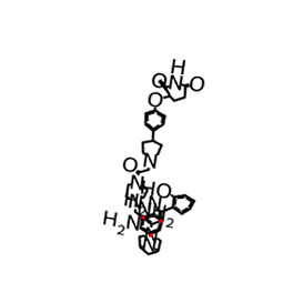 NC(N)=C(/C=C(\N)c1ccccc1O)N1CC2CC(C1)N2c1cccc(CN2CCN(C(=O)CN3CCC(c4ccc(OC5CCC(=O)NC5=O)cc4)CC3)CC2)c1